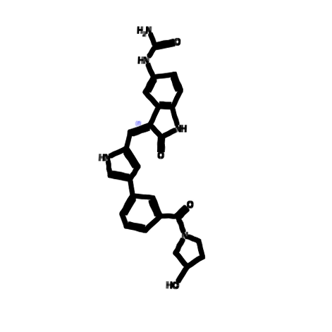 NC(=O)Nc1ccc2c(c1)/C(=C/c1cc(-c3cccc(C(=O)N4CCC(O)C4)c3)c[nH]1)C(=O)N2